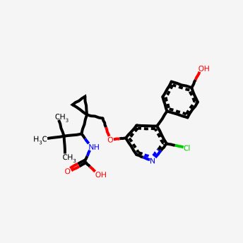 CC(C)(C)C(NC(=O)O)C1(COc2cnc(Cl)c(-c3ccc(O)cc3)c2)CC1